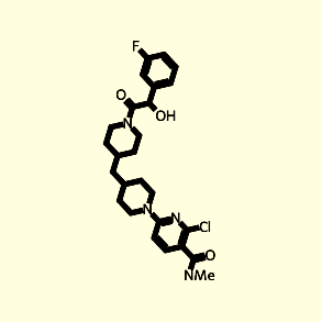 CNC(=O)c1ccc(N2CCC(CC3CCN(C(=O)C(O)c4cccc(F)c4)CC3)CC2)nc1Cl